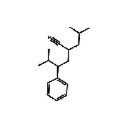 CC(C)CC(C#N)CC(c1ccccc1)C(C)C